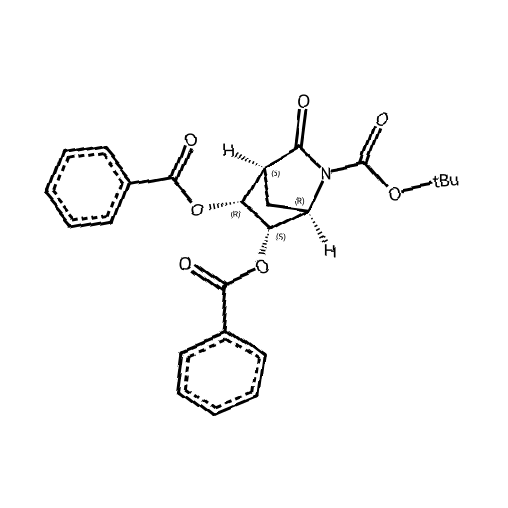 CC(C)(C)OC(=O)N1C(=O)[C@H]2C[C@@H]1[C@H](OC(=O)c1ccccc1)[C@@H]2OC(=O)c1ccccc1